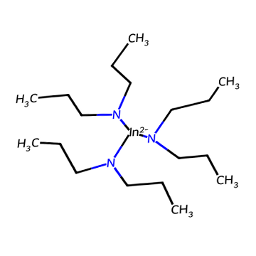 CCC[N](CCC)[In-2]([N](CCC)CCC)[N](CCC)CCC